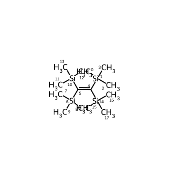 C[Si](C)(C)C(=C([Si](C)(C)C)[Si](C)(C)C)[Si](C)(C)C